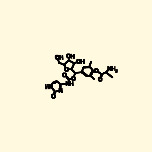 Cc1cc(C(OC(=O)Nc2cc[nH]c(=O)n2)C2OC(CO)C(O)C2O)cc(C)c1OC(=O)C(C)N